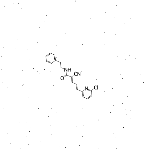 N#C/C(=C\C=C\c1cccc(Cl)n1)C(=O)NCCc1ccccc1